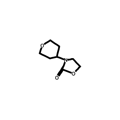 O=C1OCCN1C1CCOCC1